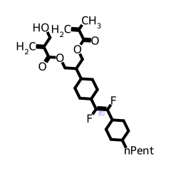 C=C(C)C(=O)OCC(COC(=O)C(=C)CO)C1CCC(/C(F)=C(\F)C2CCC(CCCCC)CC2)CC1